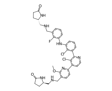 COc1nc(-c2ccnc(-c3cccc(Nc4cccc(CNC[C@@H]5CCC(=O)N5)c4F)c3Cl)c2Cl)ccc1CNC[C@H]1CCC(=O)N1